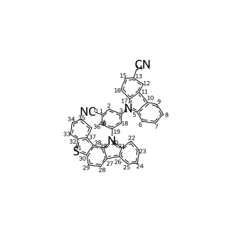 N#Cc1cc(-n2c3ccccc3c3cc(C#N)ccc32)cc(-n2c3ccccc3c3ccc4sc5ccccc5c4c32)c1